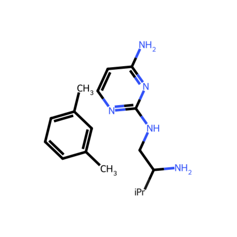 CC(C)C(N)CNc1nccc(N)n1.Cc1cccc(C)c1